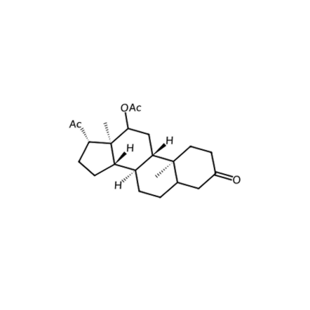 CC(=O)OC1C[C@H]2[C@@H](CCC3CC(=O)CC[C@@]32C)[C@@H]2CC[C@H](C(C)=O)[C@@]12C